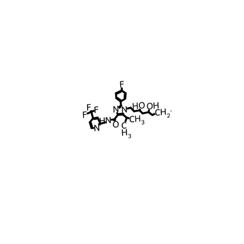 [CH2]CC(O)CC(O)CCn1c(-c2ccc(F)cc2)nc(C(=O)NCc2cc(C(F)(F)F)ccn2)c1C(C)C